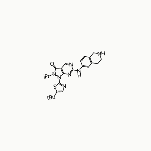 CC(C)n1c(=O)c2cnc(Nc3ccc4c(c3)CCNC4)nc2n1-c1ncc(C(C)(C)C)s1